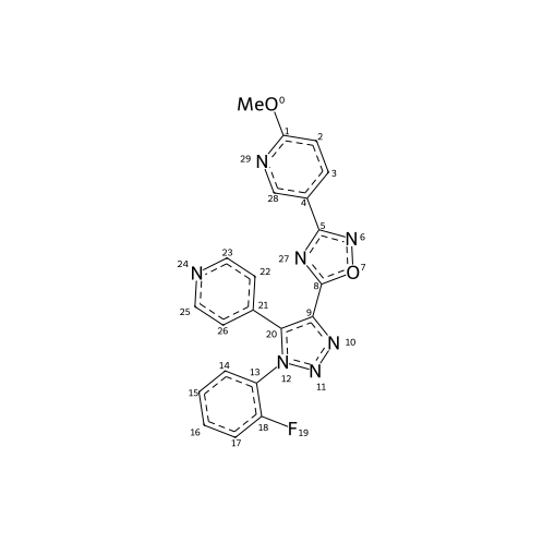 COc1ccc(-c2noc(-c3nnn(-c4ccccc4F)c3-c3ccncc3)n2)cn1